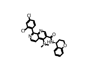 CN(C)c1c(C(=O)N[C@H]2CCOc3ccccc32)cnc2c(-c3ccc(Cl)cc3Cl)nccc12